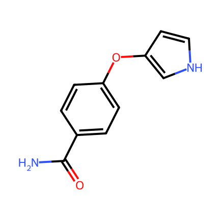 NC(=O)c1ccc(Oc2cc[nH]c2)cc1